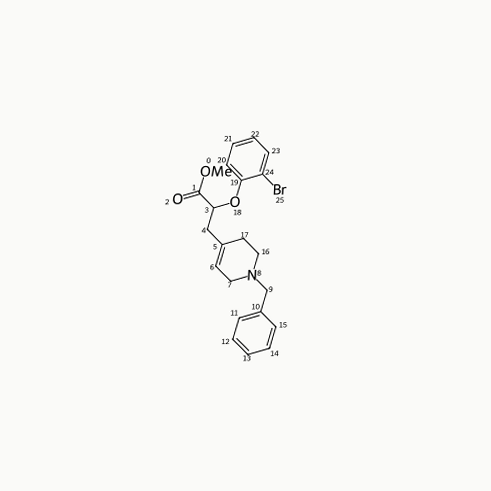 COC(=O)C(CC1=CCN(Cc2ccccc2)CC1)Oc1ccccc1Br